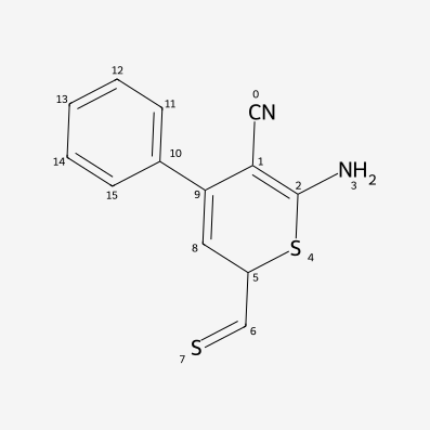 N#CC1=C(N)SC(C=S)C=C1c1ccccc1